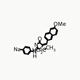 CC(=O)O.COc1ccc2cc(C=C3SC(Nc4cc[c]([Na])cc4)=NC3=O)ccc2c1